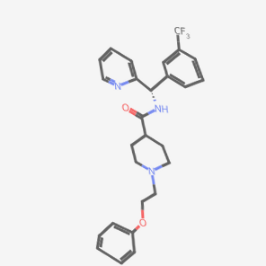 O=C(N[C@@H](c1cccc(C(F)(F)F)c1)c1ccccn1)C1CCN(CCOc2ccccc2)CC1